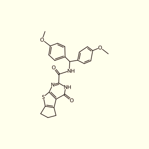 COc1ccc(C(NC(=O)c2nc3sc4c(c3c(=O)[nH]2)CCC4)c2ccc(OC)cc2)cc1